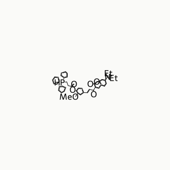 CCN(CC)c1ccc2cc(C(=O)C=Cc3ccc(OC(=O)CC[PH](c4ccccc4)(c4ccccc4)c4ccccc4)c(OC)c3)c(=O)oc2c1